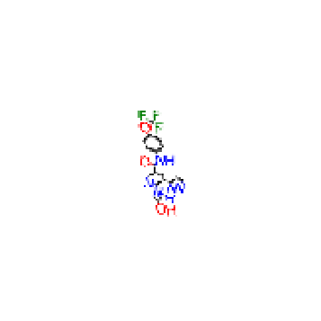 O=C(Nc1ccc(OC(F)(F)F)cc1)c1cnc(N2CC(O)C2)c(-c2ccn[nH]2)c1